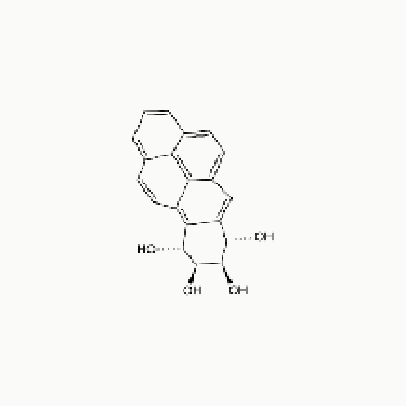 O[C@@H]1[C@H](O)[C@@H](O)c2cc3ccc4cccc5ccc(c2[C@H]1O)c3c45